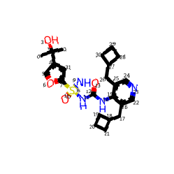 CC(C)(O)c1coc(S(=N)(=O)NC(=O)Nc2c(CC3CCC3)cncc2CC2CCC2)c1